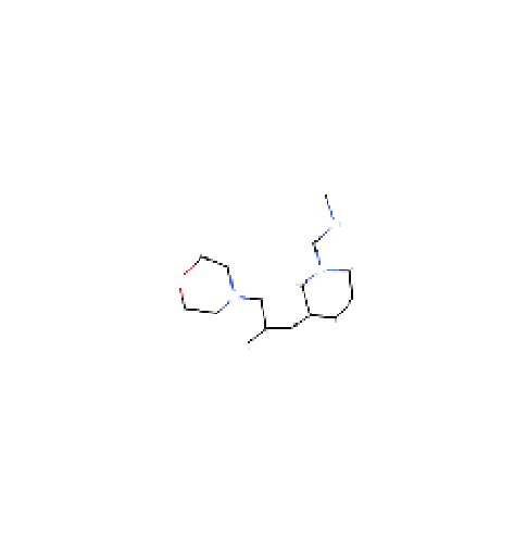 CNCN1CCCC(CC(C)CN2CCOCC2)C1